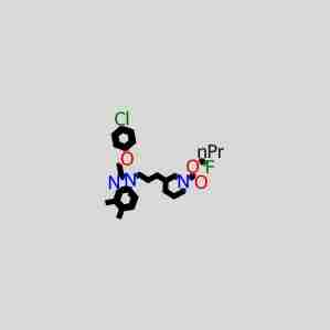 CCCC(F)OC(=O)N1CCCC(CCCn2c(COc3ccc(Cl)cc3)nc3c(C)c(C)ccc32)C1